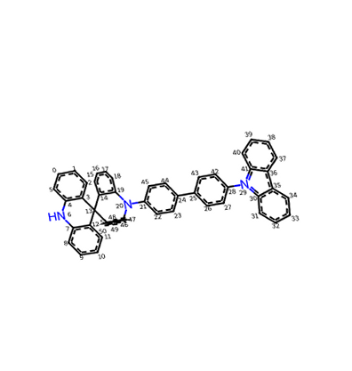 c1ccc2c(c1)Nc1ccccc1C21c2ccccc2N(c2ccc(-c3ccc(-n4c5ccccc5c5ccccc54)cc3)cc2)c2ccccc21